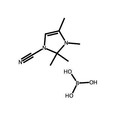 CC1=CN(C#N)C(C)(C)N1C.OB(O)O